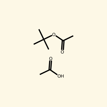 CC(=O)O.CC(=O)OC(C)(C)C